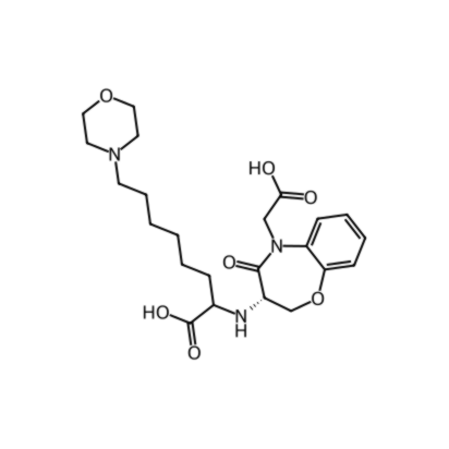 O=C(O)CN1C(=O)[C@@H](NC(CCCCCCN2CCOCC2)C(=O)O)COc2ccccc21